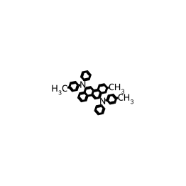 Cc1ccc(N(c2ccccc2)c2cc3c(cc(N(c4ccccc4)c4ccc(C)cc4)c4ccccc43)c3c2CC(C)C=C3)cc1